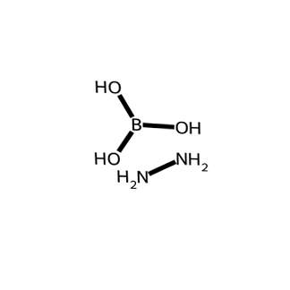 NN.OB(O)O